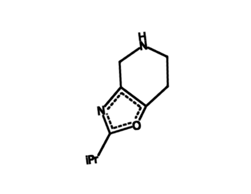 CC(C)c1nc2c(o1)CCNC2